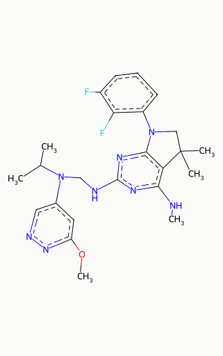 CNc1nc(NCN(c2cnnc(OC)c2)C(C)C)nc2c1C(C)(C)CN2c1cccc(F)c1F